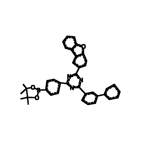 CC1(C)OB(c2ccc(-c3nc(-c4cccc(-c5ccccc5)c4)nc(-c4ccc5oc6ccccc6c5c4)n3)cc2)OC1(C)C